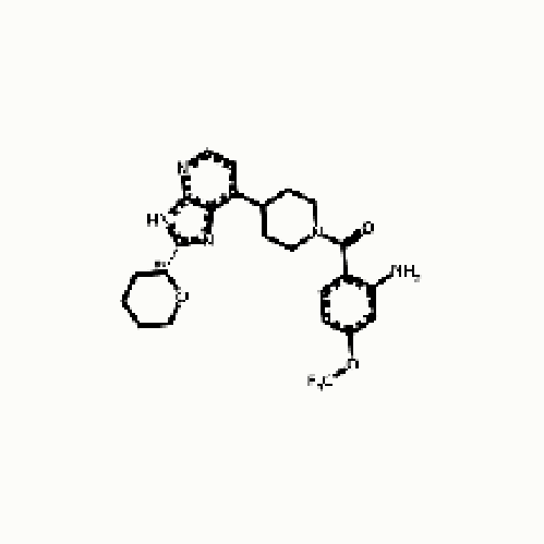 Nc1cc(OC(F)(F)F)ccc1C(=O)N1CCC(c2ccnc3[nH]c([C@H]4CCCCO4)nc23)CC1